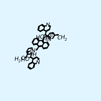 C=CC1C[N@@]2C(Cc3c4ccccc4c(C[N+]45CCC(C[C@@H]4C(O)c4ccnc6ccccc46)C(C=C)C5)c4ccccc34)CC1C[C@@H]2C(O)c1ccnc2ccccc12